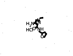 CCn1cc(N)c(C(=O)NCC2CCCO2)n1.Cl